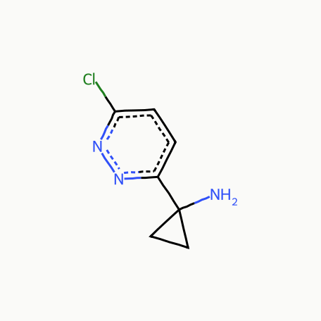 NC1(c2ccc(Cl)nn2)CC1